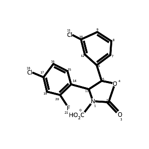 O=C(O)N1C(=O)OC(c2cccc(Cl)c2)C1c1ccc(Cl)cc1F